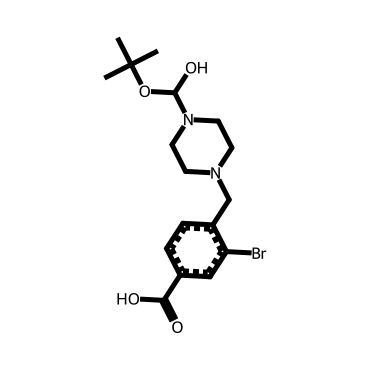 CC(C)(C)OC(O)N1CCN(Cc2ccc(C(=O)O)cc2Br)CC1